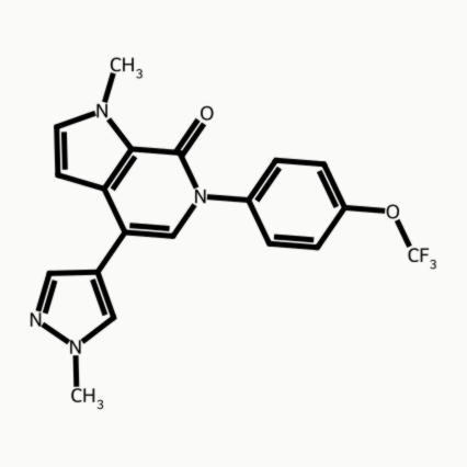 Cn1cc(-c2cn(-c3ccc(OC(F)(F)F)cc3)c(=O)c3c2ccn3C)cn1